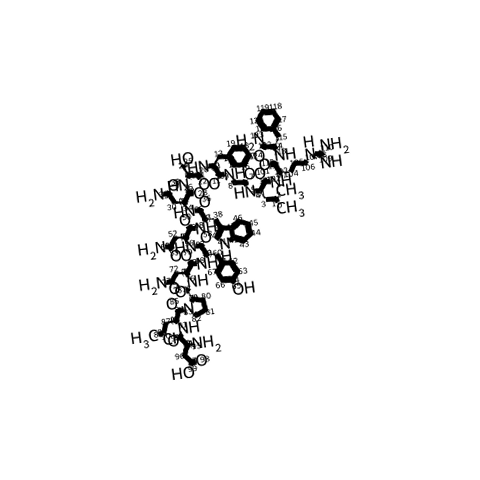 CC(C)C[C@H](NC(=O)CNC(=O)[C@H](Cc1ccccc1)NC(=O)[C@H](CO)NC(=O)[C@H](CC(N)=O)NC(=O)[C@H](Cc1c[nH]c2ccccc12)NC(=O)[C@H](CC(N)=O)NC(=O)[C@H](Cc1ccc(O)cc1)NC(=O)[C@H](CC(N)=O)NC(=O)[C@@H]1CCCN1C(=O)[C@H](CC(C)C)NC(=O)[C@@H](N)CC(=O)O)C(=O)N[C@@H](CCCNC(=N)N)C(=O)N[C@@H](Cc1ccccc1)C(N)=O